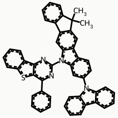 CC1(C)c2ccccc2-c2cc3c(cc21)c1ccc(-n2c4ccccc4c4ccccc42)cc1n3-c1nc(-c2ccccc2)c2sc3ccccc3c2n1